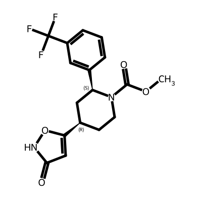 COC(=O)N1CC[C@@H](c2cc(=O)[nH]o2)C[C@H]1c1cccc(C(F)(F)F)c1